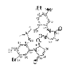 CCc1cc(SCC(C)Sc2cc(CC)c(Br)cc2N2C(=O)C=CC2=O)c(N2C(=O)C=CC2=O)cc1Br